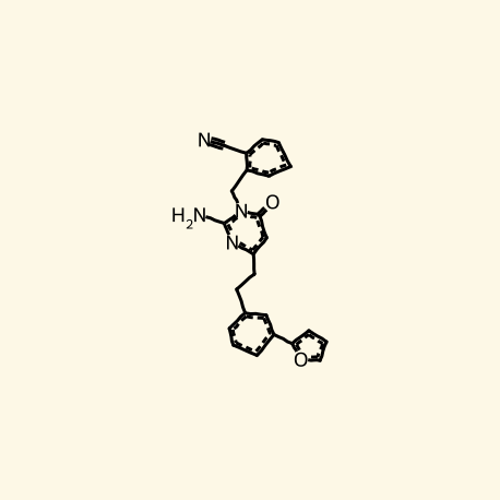 N#Cc1ccccc1Cn1c(N)nc(CCc2cccc(-c3ccco3)c2)cc1=O